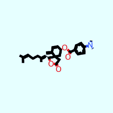 C=C1C=C[C@@H](OC(=O)c2ccc(N(C)C)cc2)CC12CC(=O)O[C@@H]2/C=C(\C)CCC=C(C)C